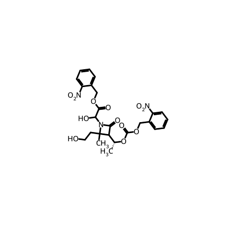 C[C@@H](OC(=O)OCc1ccccc1[N+](=O)[O-])C1C(=O)N(C(O)C(=O)OCc2ccccc2[N+](=O)[O-])C1(C)CCO